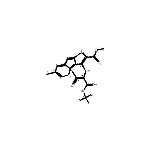 COC(=O)c1sc2cc3cc(Cl)csc-3c2c1OC(C(=O)I)C(=O)OC(C)(C)C